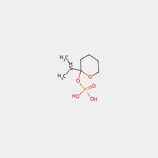 C[SiH](C)C1(OP(=O)(O)O)CCCCO1